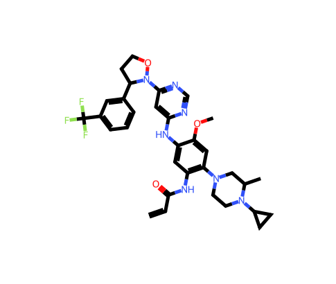 C=CC(=O)Nc1cc(Nc2cc(N3OCCC3c3cccc(C(F)(F)F)c3)ncn2)c(OC)cc1N1CCN(C2CC2)C(C)C1